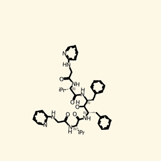 CC(C)[C@H](NC(=O)CNc1ccccn1)C(=O)N[C@@H](Cc1ccccc1)C(O)[C@H](Cc1ccccc1)NC(=O)[C@@H](NC(=O)CNc1ccccn1)C(C)C